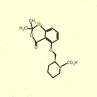 CC1(C)OC(=O)c2c(OC[C@@H]3CCCCN3C(=O)O)cccc2O1